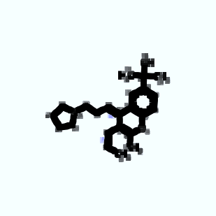 C/C=C\C1=C(N)Oc2ccc(C(C)(C)O)cc2/C1=C/CCN1CCCC1